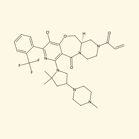 C=CC(=O)N1CCN2C(=O)c3c(N4CC(N5CCN(C)CC5)CC4(C)C)nc(-c4ccccc4C(F)(F)F)c(Cl)c3OC[C@H]2C1